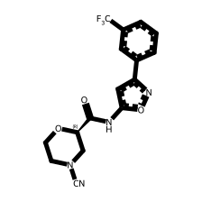 N#CN1CCO[C@@H](C(=O)Nc2cc(-c3cccc(C(F)(F)F)c3)no2)C1